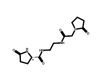 O=C(CN1CCCC1=O)NCCNC(=O)[C@@H]1CCC(=O)N1